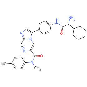 CN(C(=O)c1cn2c(-c3ccc(NC(=O)C(N)C4CCCCC4)cc3)cnc2cn1)c1ccc(C#N)cc1